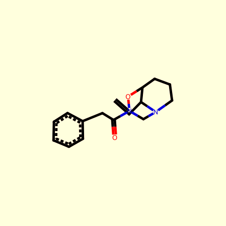 C=CC1C2CCCN1CN(C(=O)Cc1ccccc1)O2